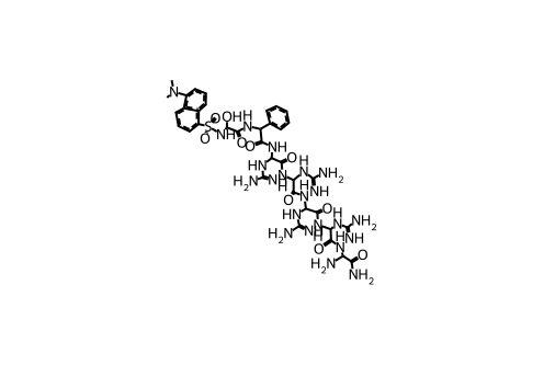 CN(C)c1cccc2c(S(=O)(=O)NC(O)C(=O)NC(C(=O)NC(NC(=N)N)C(=O)NC(NC(=N)N)C(=O)NC(NC(=N)N)C(=O)NC(NC(=N)N)C(=O)NC(N)C(N)=O)c3ccccc3)cccc12